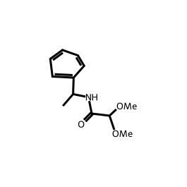 COC(OC)C(=O)NC(C)c1ccccc1